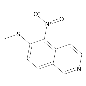 CSc1ccc2cnccc2c1[N+](=O)[O-]